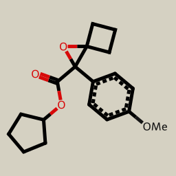 COc1ccc(C2(C(=O)OC3CCCC3)OC23CCC3)cc1